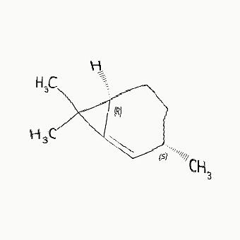 C[C@@H]1C=C2[C@H](CC1)C2(C)C